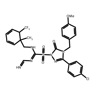 COc1ccc(Cn2c(-c3ccc(Cl)cc3)nn(S(=O)(=O)/C(=N/C=N)NCC3(C)C=CC=CC3C(F)(F)F)c2=O)cc1